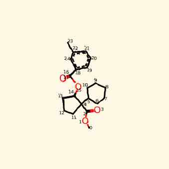 COC(=O)C1(C2CCCCC2)CCCC1OC(=O)c1cccc(C)c1